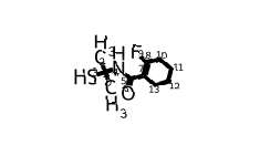 CC(C)(S)NC(=O)C1=C(F)CCCC1